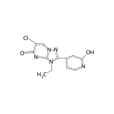 CCn1c(-c2ccnc(O)c2)nn2cc(Cl)c(=O)nc12